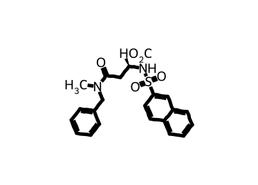 CN(Cc1ccccc1)C(=O)C[C@H](NS(=O)(=O)c1ccc2ccccc2c1)C(=O)O